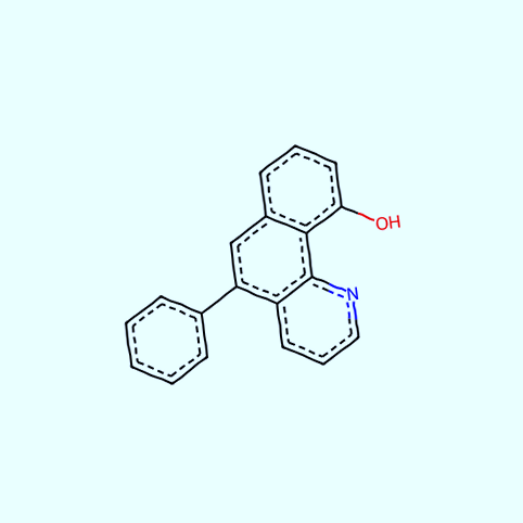 Oc1cccc2cc(-c3ccccc3)c3cccnc3c12